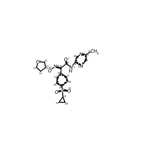 Cc1cnc(NC(=O)/C(=N/O[C@@H]2CCOC2)c2ccc(S(=O)(=O)C3CC3)cc2)cn1